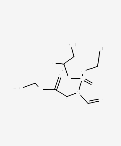 CCOC(=O)CN(C=O)P(=S)(OCC)SC(C)CC